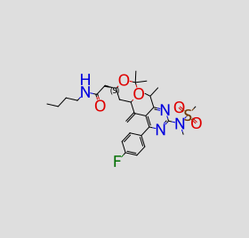 C=C(c1c(-c2ccc(F)cc2)nc(N(C)S(C)(=O)=O)nc1C(C)C)C1C[C@@H](CC(=O)NCCCC)OC(C)(C)O1